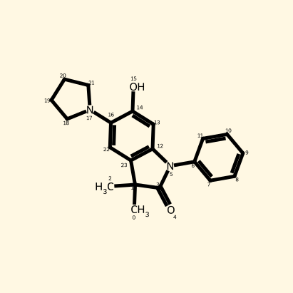 CC1(C)C(=O)N(c2ccccc2)c2cc(O)c(N3CCCC3)cc21